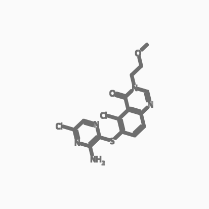 COCCn1cnc2ccc(Sc3ncc(Cl)nc3N)c(Cl)c2c1=O